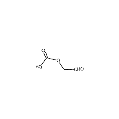 O=CCOC(=O)O